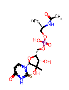 CCC[C@H](COP(=O)(O)OC[C@H]1O[C@@H](n2ccc(=O)[nH]c2=S)C(C)(O)[C@H]1O)NC(=O)C(F)(F)F